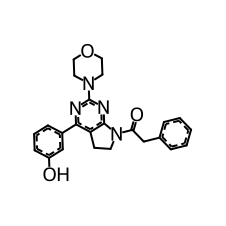 O=C(Cc1ccccc1)N1CCc2c(-c3cccc(O)c3)nc(N3CCOCC3)nc21